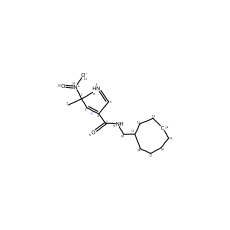 CC(C)(/C=C(\C=N)C(=O)NCC1CCCCCCC1)[N+](=O)[O-]